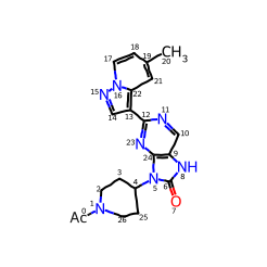 CC(=O)N1CCC(n2c(=O)[nH]c3cnc(-c4cnn5ccc(C)cc45)nc32)CC1